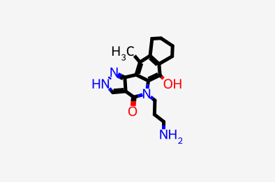 Cc1c2c(c(O)c3c1c1n[nH]cc1c(=O)n3CCCN)CCCC2